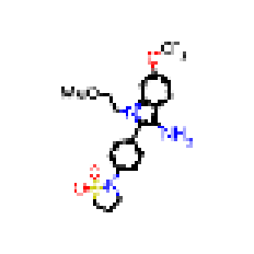 COCCn1c(-c2ccc(N3CCCS3(=O)=O)cc2)c(N)c2ccc(OC(F)(F)F)cc21